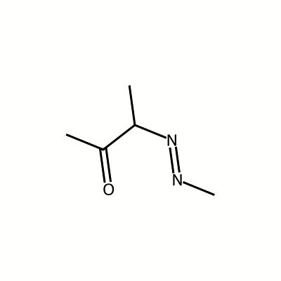 C/N=N/C(C)C(C)=O